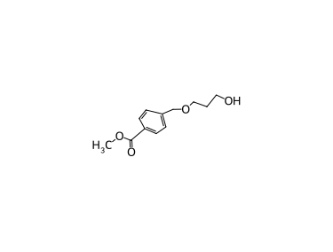 COC(=O)c1ccc(COCCCO)cc1